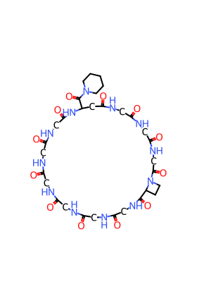 O=C1CNC(=O)CNC(=O)CNC(=O)C2CCN2C(=O)CNC(=O)CNC(=O)CNC(=O)CC(C(=O)N2CCCCC2)NC(=O)CNC(=O)CNC(=O)CN1